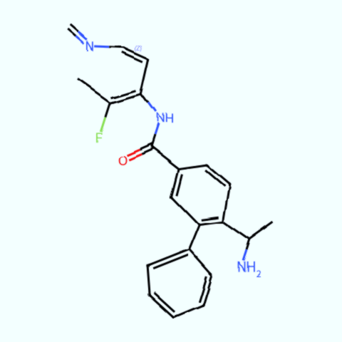 C=N/C=C\C(NC(=O)c1ccc(C(C)N)c(-c2ccccc2)c1)=C(C)F